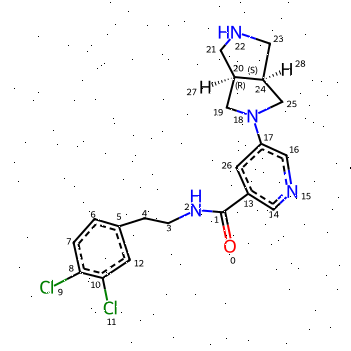 O=C(NCCc1ccc(Cl)c(Cl)c1)c1cncc(N2C[C@H]3CNC[C@H]3C2)c1